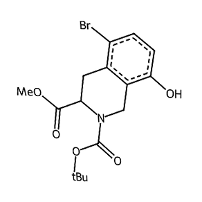 COC(=O)C1Cc2c(Br)ccc(O)c2CN1C(=O)OC(C)(C)C